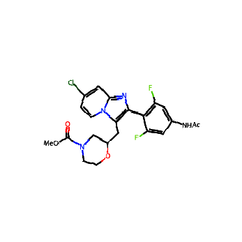 COC(=O)N1CCOC(Cc2c(-c3c(F)cc(NC(C)=O)cc3F)nc3cc(Cl)ccn23)C1